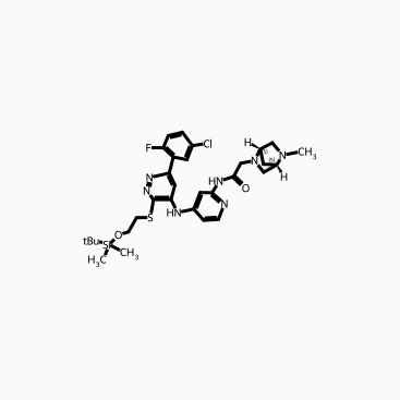 CN1C[C@@H]2C[C@H]1CN2CC(=O)Nc1cc(Nc2cc(-c3cc(Cl)ccc3F)nnc2SCCO[Si](C)(C)C(C)(C)C)ccn1